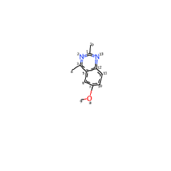 [CH2]c1nc(C)c2cc(OC)ccc2n1